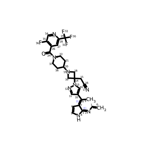 C=C/N=C1/NC=C/C1=C(/C)c1cnn(C2(CC#N)CN(C3CCN(C(=O)c4cc(C(F)(F)F)ncc4F)CC3)C2)c1